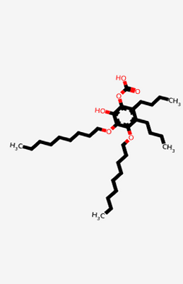 CCCCCCCCCOc1c(O)c(OC(=O)O)c(CCCC)c(CCCC)c1OCCCCCCCCC